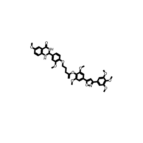 C=C(CCCOc1ccc(C2NC(=O)c3cc(OC)ccc3N2)cc1OC)Oc1c(OC)cc(-c2cc(-c3cc(OC)c(OC)c(OC)c3)no2)cc1OC